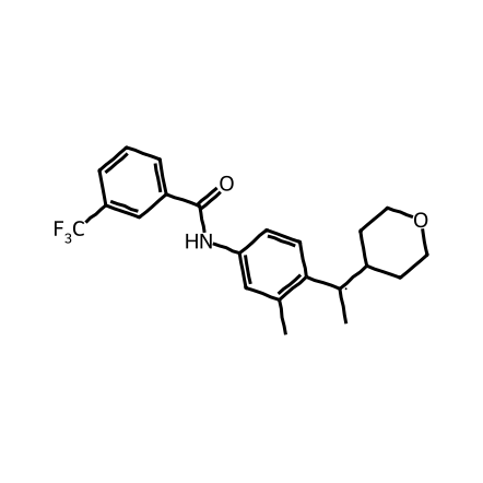 C[C](c1ccc(NC(=O)c2cccc(C(F)(F)F)c2)cc1C)C1CCOCC1